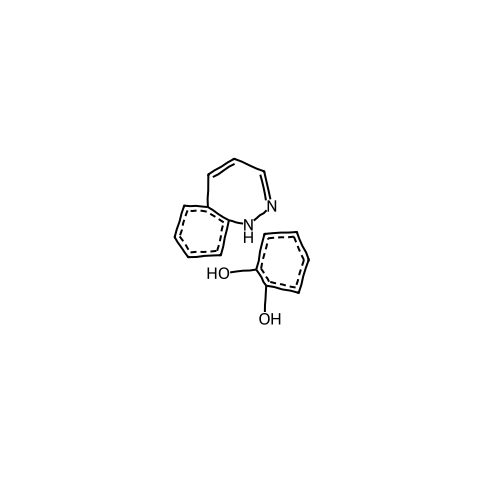 C1=Cc2ccccc2NN=C1.Oc1ccccc1O